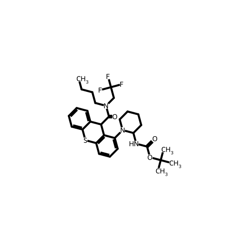 CCCCN(CC(F)(F)F)C(=O)C1c2ccccc2Sc2cccc(N3CCCCC3NC(=O)OC(C)(C)C)c21